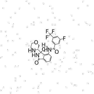 C[C@]1([C@@H]2COCCN2)NC(=O)c2cccc(NC(=O)c3cc(F)cc(C(F)(F)F)c3)c21